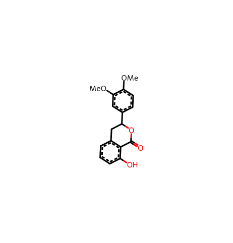 COc1ccc(C2Cc3cccc(O)c3C(=O)O2)cc1OC